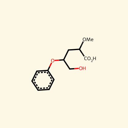 COC(CC(CO)Oc1ccccc1)C(=O)O